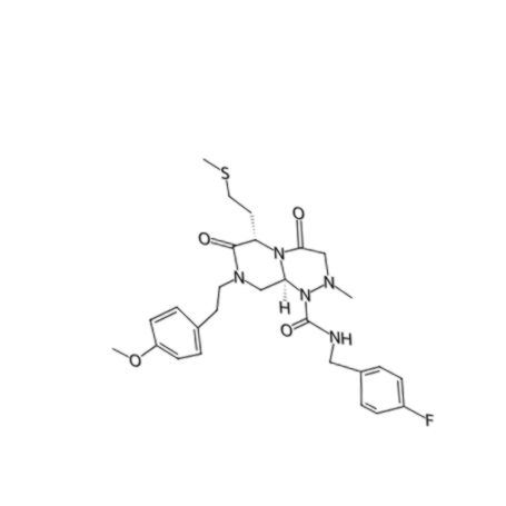 COc1ccc(CCN2C[C@H]3N(C(=O)CN(C)N3C(=O)NCc3ccc(F)cc3)[C@@H](CCSC)C2=O)cc1